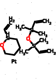 C=C[SiH]1CCCCO1.C=C[Si](C)(C)O[Si](C)(C)C=C.[Pt]